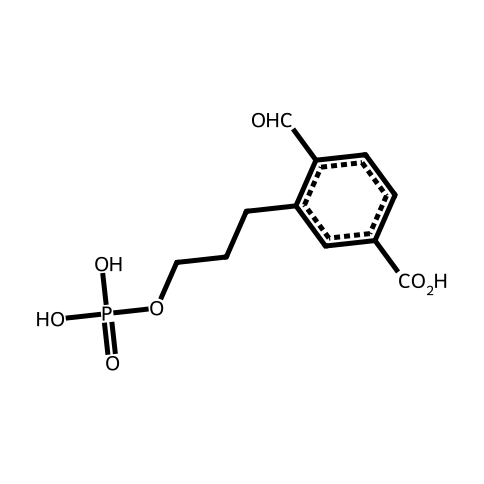 O=Cc1ccc(C(=O)O)cc1CCCOP(=O)(O)O